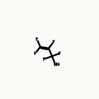 [NH]C(F)(F)C(F)=C(F)F